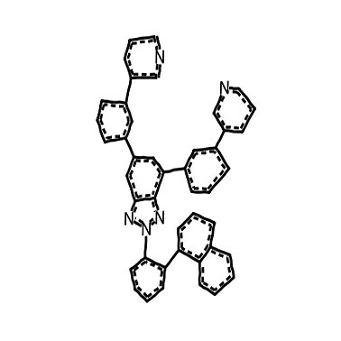 c1cncc(-c2cccc(-c3cc(-c4cccc(-c5cccnc5)c4)c4nn(-c5ccccc5-c5cccc6ccccc56)nc4c3)c2)c1